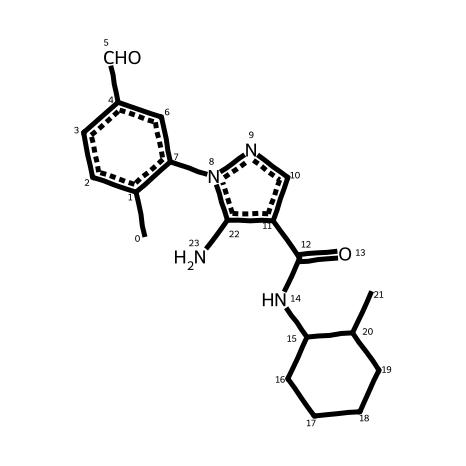 Cc1ccc(C=O)cc1-n1ncc(C(=O)NC2CCCCC2C)c1N